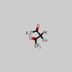 CC(=O)[C]([Cu])(C(=O)C(F)(F)F)C(=O)C(F)(F)F